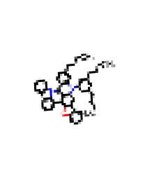 CCCCc1cc(CCCC)cc(N2c3cc(CCCC)ccc3B3c4c2cc2c(oc5ccccc52)c4-c2cccc4c5ccccc5n3c24)c1